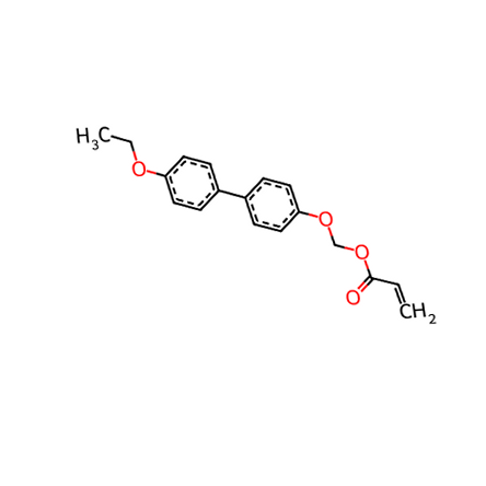 C=CC(=O)OCOc1ccc(-c2ccc(OCC)cc2)cc1